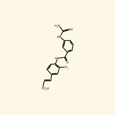 N=C(N)Nc1cccc(C(=O)Nc2ccc(/C=C/C(=O)O)cc2C(F)(F)F)c1